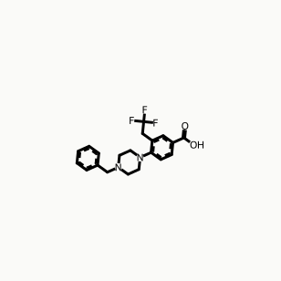 O=C(O)c1ccc(N2CCN(Cc3ccccc3)CC2)c(CC(F)(F)F)c1